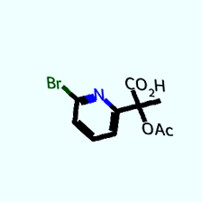 CC(=O)OC(C)(C(=O)O)c1cccc(Br)n1